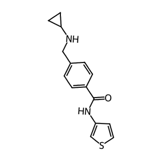 O=C(Nc1ccsc1)c1ccc(CNC2CC2)cc1